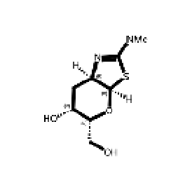 CNC1=N[C@@H]2C[C@@H](O)[C@@H](CO)O[C@@H]2S1